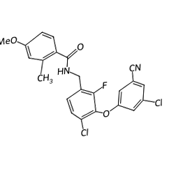 COc1ccc(C(=O)NCc2ccc(Cl)c(Oc3cc(Cl)cc(C#N)c3)c2F)c(C)c1